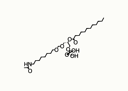 CCCCCCCCCCCC(=O)O[C@@H](COCOCCCCCCCCNC(C)=O)COP(=O)(O)O